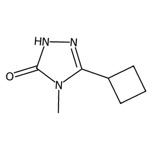 Cn1c(C2CCC2)n[nH]c1=O